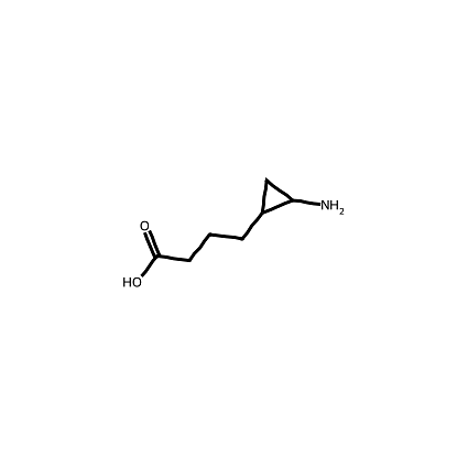 NC1CC1CCCC(=O)O